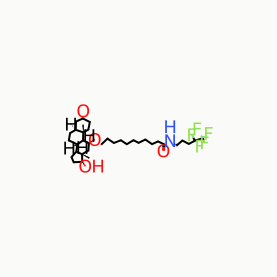 C[C@]12CCC(=O)C[C@@H]1CC[C@@H]1[C@@H]2[C@@H](OCCCCCCCCCCC(=O)NCCCC(F)(F)C(F)(F)F)C[C@]2(C)[C@@H](O)CC[C@@H]12